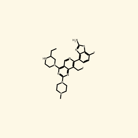 CCC1CN(c2nc(N3CCN(C)CC3)nc3c(CF)c(-c4ccc(F)c5sc(N)nc45)ncc23)CCN1